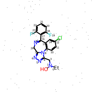 CCN(O)Cc1nnc2n1-c1ccc(Cl)cc1C(c1c(F)cccc1F)=NC2